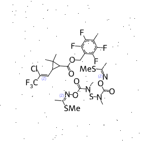 CS/C(C)=N\OC(=O)N(C)SN(C)C(=O)O/N=C(/C)SC.Cc1c(F)c(F)c(COC(=O)C2C(/C=C(\Cl)C(F)(F)F)C2(C)C)c(F)c1F